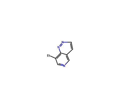 CCc1cncc2ccnnc12